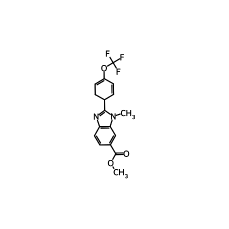 COC(=O)c1ccc2nc(C3C=CC(OC(F)(F)F)=CC3)n(C)c2c1